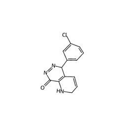 O=C1N=NC(c2cccc(Cl)c2)C2=C1NCC=C2